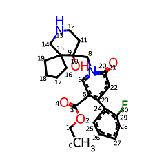 CCOC(=O)c1cn(CC2(O)CCNCC23CCCC3)c(=O)cc1-c1ccccc1F